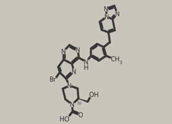 Cc1cc(Nc2ncnc3cc(Br)c(N4CCN(C(=O)O)[C@H](CO)C4)nc23)ccc1Cc1ccn2ncnc2c1